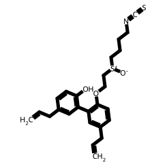 C=CCc1ccc(O)c(-c2cc(CC=C)ccc2OCC[S+]([O-])CCCCN=C=S)c1